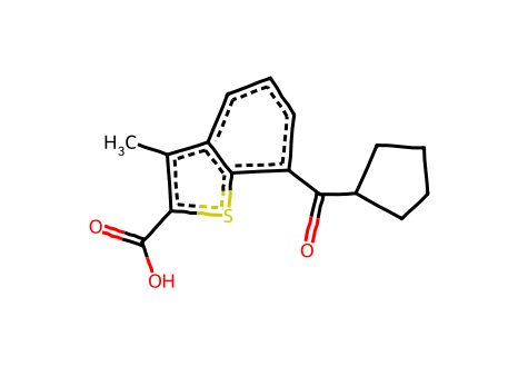 Cc1c(C(=O)O)sc2c(C(=O)C3CCCC3)cccc12